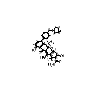 CC[C@@]12Cc3c(-c4ccc(CN5CCOCC5)cc4)ccc(O)c3C(=O)C1=C(O)C1[C@H](CC(O)=C(C(N)=O)C1(O)O)C2